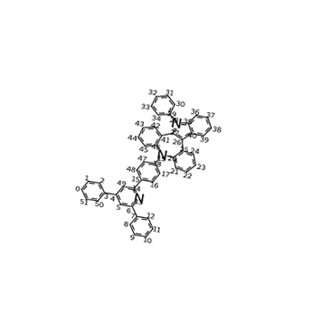 c1ccc(-c2cc(-c3ccccc3)nc(-c3ccc(N4c5ccccc5-c5c(n(-c6ccccc6)c6ccccc56)-c5ccccc54)cc3)c2)cc1